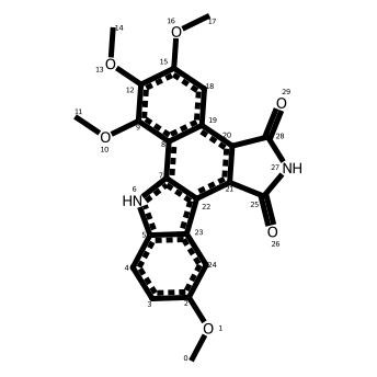 COc1ccc2[nH]c3c4c(OC)c(OC)c(OC)cc4c4c(c3c2c1)C(=O)NC4=O